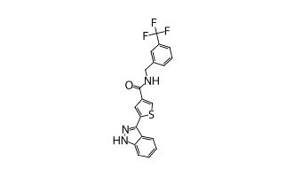 O=C(NCc1cccc(C(F)(F)F)c1)c1csc(-c2n[nH]c3ccccc23)c1